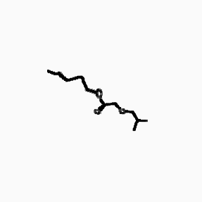 CCCCCOC(=O)COCC(C)C